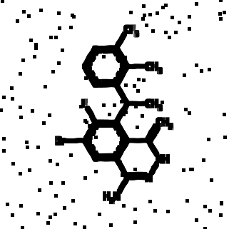 C=C1NN=C(N)c2cc(Br)c(F)c(C(C)c3cccc(C(F)(F)F)c3C)c21